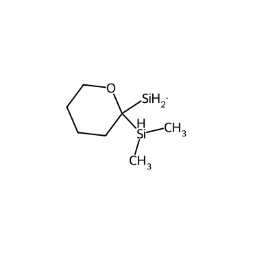 C[SiH](C)C1([SiH2])CCCCO1